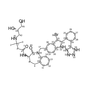 CC(C)(CC(=O)N[C@@H]1CCc2ccccc2N(Cc2ccc3[nH]c(-c4ccccc4-c4nnn[nH]4)c(Br)c3c2)C1=O)NC[C@H](O)CO